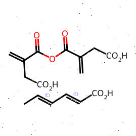 C/C=C/C=C/C(=O)O.C=C(CC(=O)O)C(=O)OC(=O)C(=C)CC(=O)O